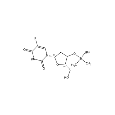 CC(C)(C)[Si](C)(C)OC1C[C@@H](n2cc(F)c(=O)[nH]c2=O)O[C@H]1CO